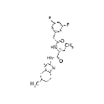 CC[C@H](NC(=O)Cc1cc(F)cc(F)c1)C(=O)Nc1nc2c(s1)CC(C)CC2